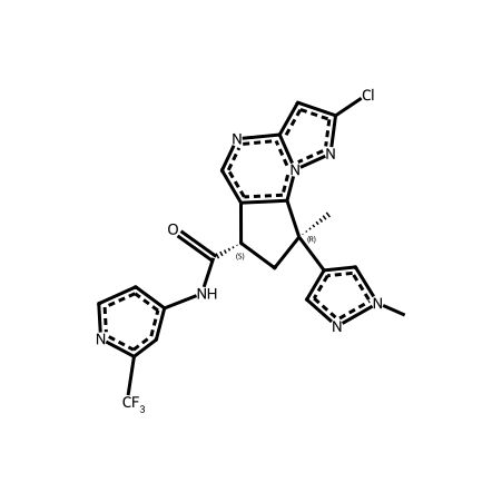 Cn1cc([C@@]2(C)C[C@H](C(=O)Nc3ccnc(C(F)(F)F)c3)c3cnc4cc(Cl)nn4c32)cn1